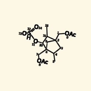 CC(=O)OCC12CC(C)C(COC(C)=O)(C1)C(O[SH](=O)=O)C2C